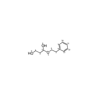 OCCC(O)OCCc1ccccc1